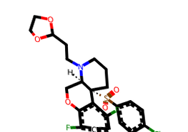 O=S(=O)(c1ccc(Cl)cc1)[C@@]12CCCN(CCC3OCCO3)[C@@H]1COc1c(F)ccc(F)c12